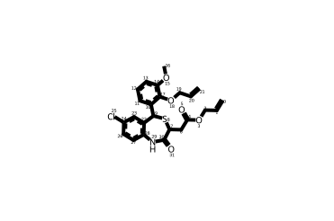 C=CCOC(=O)CC1SC(c2cccc(OC)c2OCC=C)c2cc(Cl)ccc2NC1=O